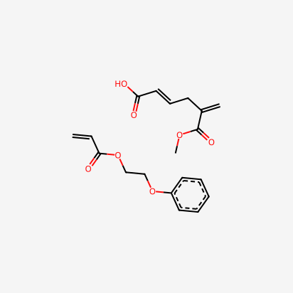 C=C(CC=CC(=O)O)C(=O)OC.C=CC(=O)OCCOc1ccccc1